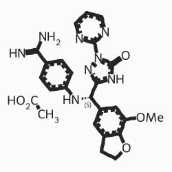 CC(=O)O.COc1cc([C@H](Nc2ccc(C(=N)N)cc2)c2nn(-c3ncccn3)c(=O)[nH]2)cc2c1OCC2